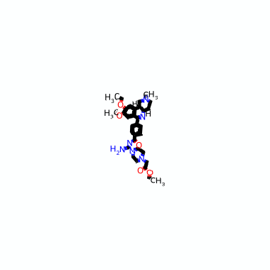 CCOC(=O)CN1CCN(/C(N)=N\C(=O)c2ccc(C3=N[C@@H]4CCN(C)C[C@@H]4c4cc(OCC)c(OC)cc43)cc2)CC1